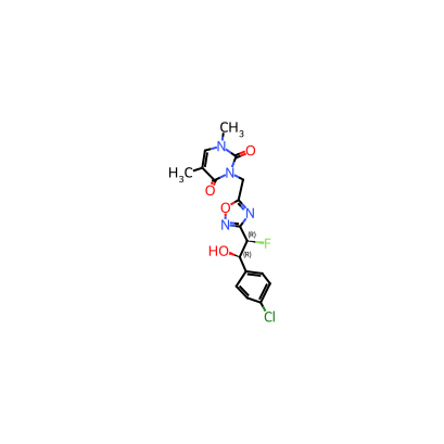 Cc1cn(C)c(=O)n(Cc2nc([C@@H](F)[C@H](O)c3ccc(Cl)cc3)no2)c1=O